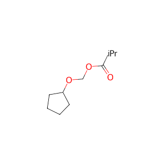 CC(C)C(=O)OCOC1CCCC1